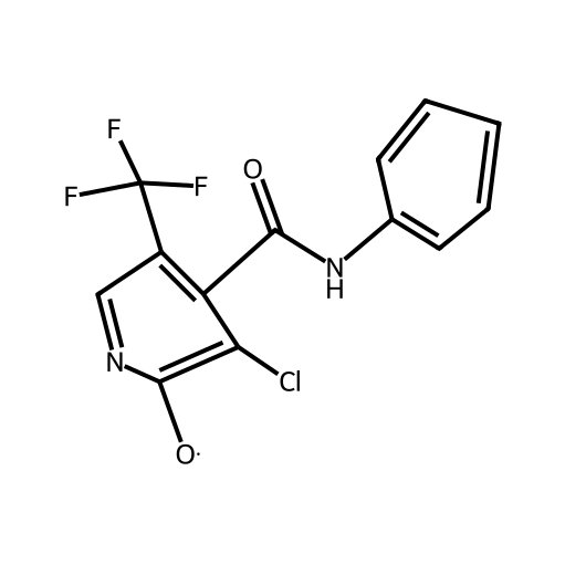 [O]c1ncc(C(F)(F)F)c(C(=O)Nc2ccccc2)c1Cl